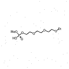 CCOCCOCCOCCOP(=O)(O)OC